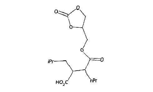 CCCC(C(=O)OCC1COC(=O)O1)C(CC(C)C)C(=O)O